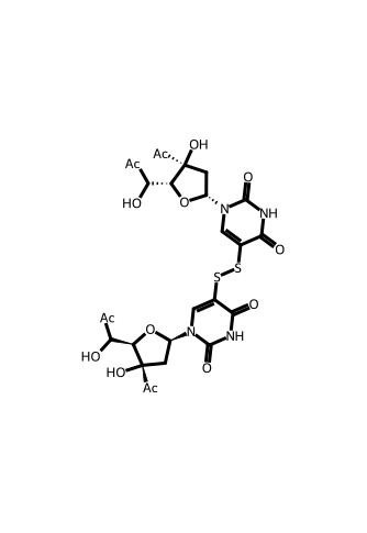 CC(=O)C(O)[C@H]1O[C@@H](n2cc(SSc3cn([C@H]4C[C@@](O)(C(C)=O)[C@@H](C(O)C(C)=O)O4)c(=O)[nH]c3=O)c(=O)[nH]c2=O)C[C@@]1(O)C(C)=O